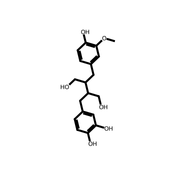 COc1cc(CC(CO)C(CO)Cc2ccc(O)c(O)c2)ccc1O